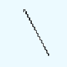 CCCCCCCCCCCCCCCCCCCCCCCCCC/C=C/[P]